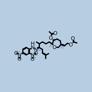 CC(=O)OC/C=C1\CC[C@@H](OC(C)=O)[C@](C)(CCCC(C)/C(CC=C(C)C)=N\Nc2ccc([N+](=O)[O-])cc2[N+](=O)[O-])OC1